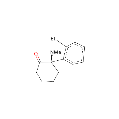 CCc1ccccc1[C@]1(NC)CCCCC1=O